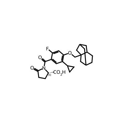 O=C(O)[C@@H]1CCC(=O)N1C(=O)c1cc(C2CC2)c(OCC23CC4CCC2CC(C4)C3)cc1F